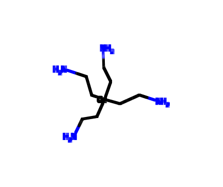 NC[CH2][Ge]([CH2]CN)([CH2]CN)[CH2]CN